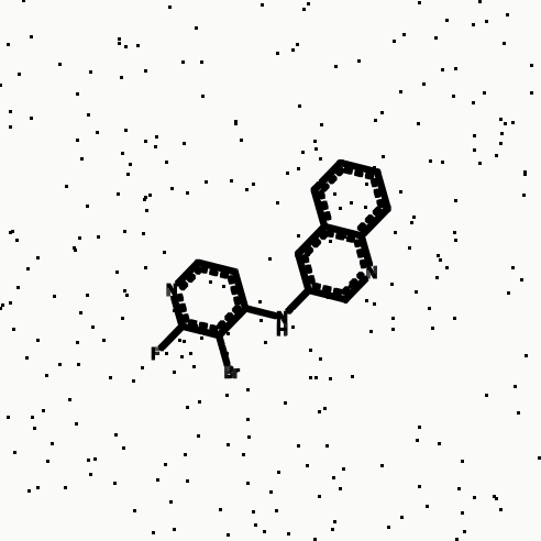 Fc1nccc(Nc2cnc3ccccc3c2)c1Br